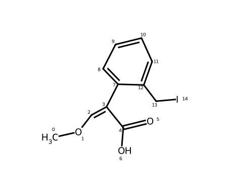 COC=C(C(=O)O)c1ccccc1CI